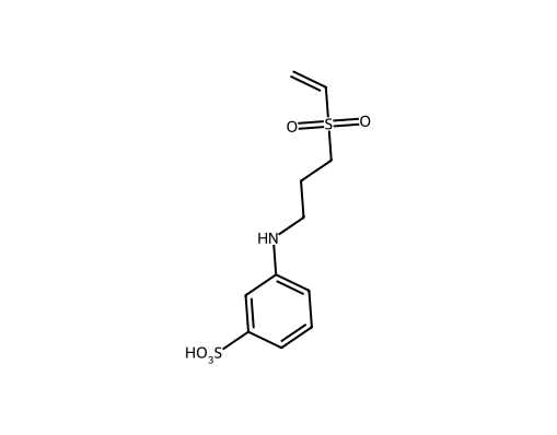 C=CS(=O)(=O)CCCNc1cccc(S(=O)(=O)O)c1